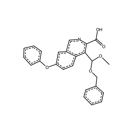 COC(OCc1ccccc1)c1c(C(=O)O)ncc2cc(Oc3ccccc3)ccc12